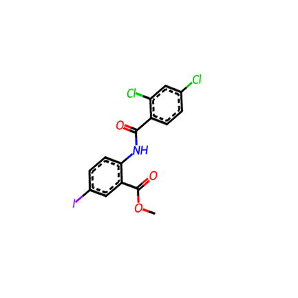 COC(=O)c1cc(I)ccc1NC(=O)c1ccc(Cl)cc1Cl